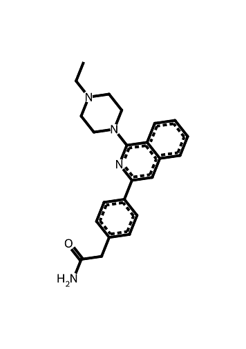 CCN1CCN(c2nc(-c3ccc(CC(N)=O)cc3)cc3ccccc23)CC1